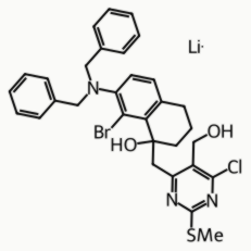 CSc1nc(Cl)c(CO)c(CC2(O)CCCc3ccc(N(Cc4ccccc4)Cc4ccccc4)c(Br)c32)n1.[Li]